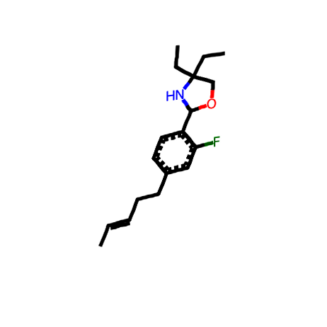 C/C=C/CCc1ccc(C2NC(CC)(CC)CO2)c(F)c1